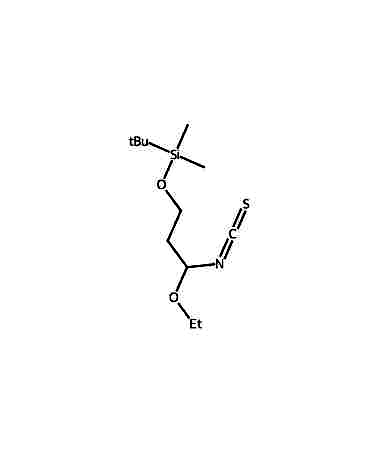 CCOC(CCO[Si](C)(C)C(C)(C)C)N=C=S